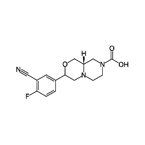 N#Cc1cc(C2CN3CCN(C(=O)O)C[C@H]3CO2)ccc1F